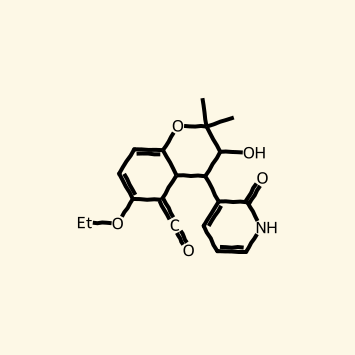 CCOC1=CC=C2OC(C)(C)C(O)C(c3ccc[nH]c3=O)C2C1=C=O